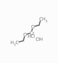 CC[O][Cr][O]CC.Cl.Cl